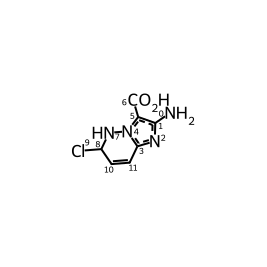 Nc1nc2n(c1C(=O)O)NC(Cl)C=C2